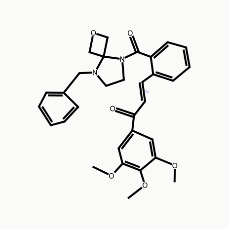 COc1cc(C(=O)/C=C/c2ccccc2C(=O)N2CCN(Cc3ccccc3)C23COC3)cc(OC)c1OC